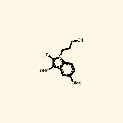 Bc1c(C=O)c2cc(OC)ccc2n1CCCC#N